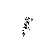 COCCCn1c(C2CCCN(C(=O)CC(N)Cc3ccc(-c4ccc(N(C)C)nc4)cc3)C2)nc2ccccc21